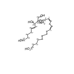 CCCCC/C=C\C/C=C\CCCCCCCC(=O)O.CCCCCCCCCCCCC/C=C/[C@@H](O)[C@@H](N)CO